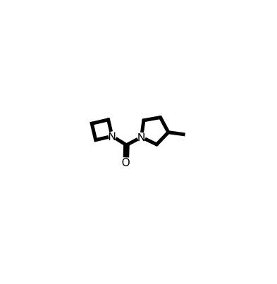 CC1CCN(C(=O)N2CCC2)C1